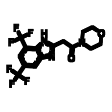 O=C(Cc1nc2cc(C(F)(F)F)cc(C(F)(F)F)c2[nH]1)N1CCOCC1